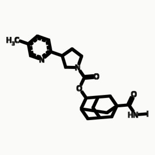 Cc1ccc(C2CCN(C(=O)OC3C4CC5CC3CC(C(=O)NI)(C5)C4)C2)nc1